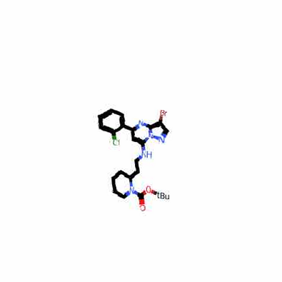 CC(C)(C)OC(=O)N1CCCCC1CCNc1cc(-c2ccccc2Cl)nc2c(Br)cnn12